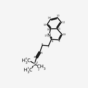 C[Si](C)(C)C#CCCc1ccc2ccccc2n1